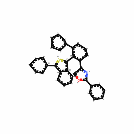 c1ccc(-c2nc(-c3cccc(-c4ccccc4)c3-c3sc(-c4ccccc4)c4ccccc34)co2)cc1